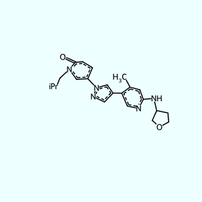 Cc1cc(NC2CCOC2)ncc1-c1cnn(-c2ccc(=O)n(CC(C)C)c2)c1